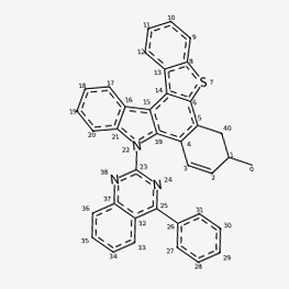 CC1C=Cc2c(c3sc4ccccc4c3c3c4ccccc4n(-c4nc(-c5ccccc5)c5ccccc5n4)c23)C1